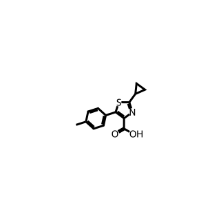 Cc1ccc(-c2sc(C3CC3)nc2C(=O)O)cc1